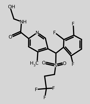 Cc1cc(C(=O)NCO)ncc1C(c1c(F)ccc(F)c1F)S(=O)(=O)CCC(F)(F)F